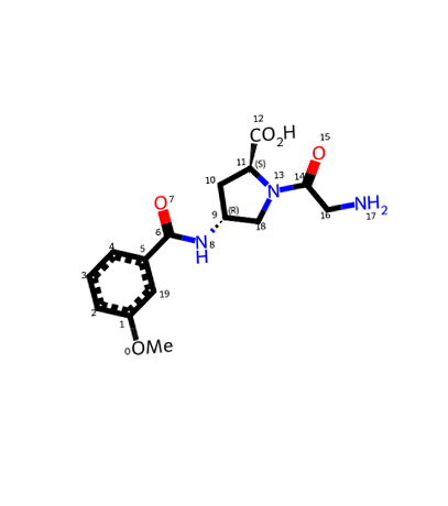 COc1cccc(C(=O)N[C@@H]2C[C@@H](C(=O)O)N(C(=O)CN)C2)c1